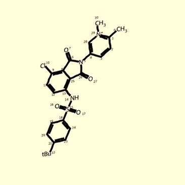 Cc1ccc(N2C(=O)c3c(Cl)ccc(NS(=O)(=O)c4ccc(C(C)(C)C)cc4)c3C2=O)c[n+]1C